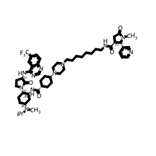 CC(C)N(C)[C@@H]1CC[C@H](N2CC[C@H](Nc3ncnc4ccc(C(F)(F)F)cc34)C2=O)[C@H](NC(=O)[C@H]2CC[C@@H](N3CCN(CCCCCCCCNC(=O)[C@H]4CC(=O)N(C)[C@@H]4c4cccnc4)CC3)CC2)C1